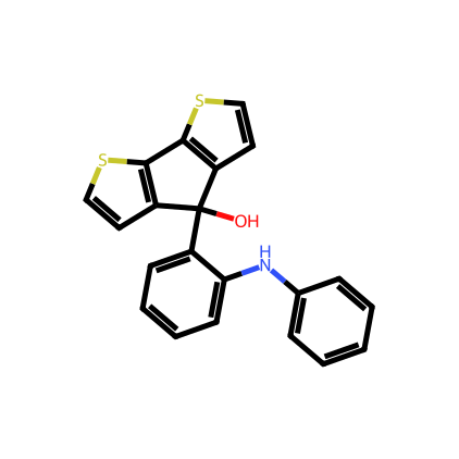 OC1(c2ccccc2Nc2ccccc2)c2ccsc2-c2sccc21